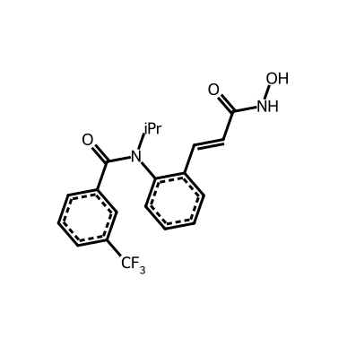 CC(C)N(C(=O)c1cccc(C(F)(F)F)c1)c1ccccc1/C=C/C(=O)NO